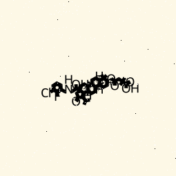 CC(C)C1=C2[C@H]3CC[C@@H]4[C@@]5(C)CC[C@H](OC(=O)CC(C)(C)C(=O)O)C(C)(C)[C@@H]5CC[C@@]4(C)[C@]3(C)CCC2(C(O)CNCc2cccc(Cl)c2F)CC1=O